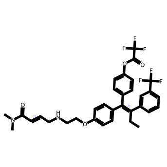 CC/C(=C(\c1ccc(OCCNC/C=C/C(=O)N(C)C)cc1)c1ccc(OC(=O)C(F)(F)F)cc1)c1cccc(C(F)(F)F)c1